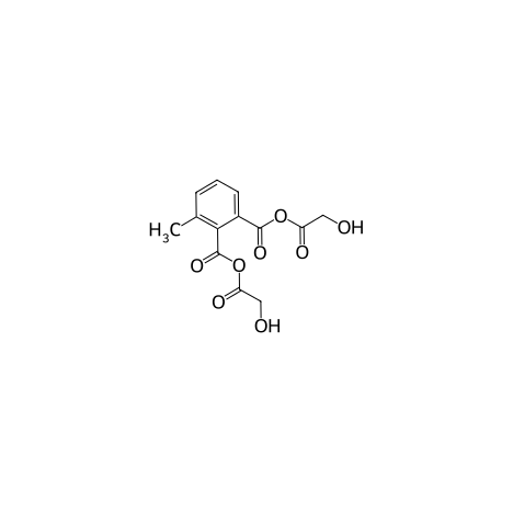 Cc1cccc(C(=O)OC(=O)CO)c1C(=O)OC(=O)CO